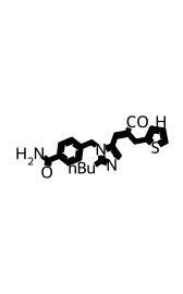 CCCCc1ncc(/C=C(\Cc2cccs2)C(=O)O)n1Cc1ccc(C(N)=O)cc1